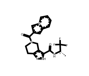 C[C@H](NC(=O)c1[nH]nc2c1CN(C(=O)c1cc3ccccn3c1)CC2)C(F)(F)F